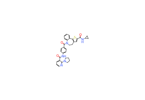 O=C(NC1CC1)c1cc2c(s1)-c1ccccc1N(C(=O)c1ccc(NC(=O)c3cccnc3N3CCCC3)cc1)CC2